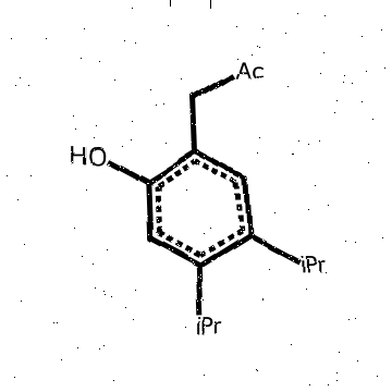 CC(=O)Cc1cc(C(C)C)c(C(C)C)cc1O